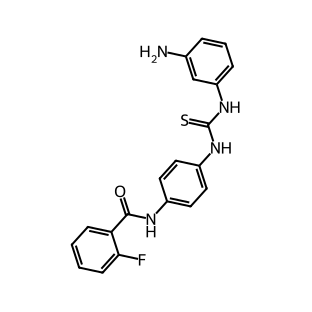 Nc1cccc(NC(=S)Nc2ccc(NC(=O)c3ccccc3F)cc2)c1